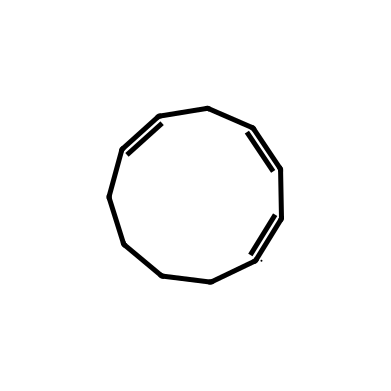 [C]1=CC=CCC=CCCCC1